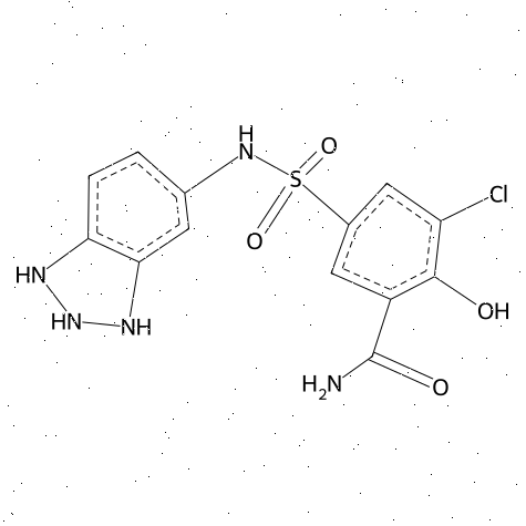 NC(=O)c1cc(S(=O)(=O)Nc2ccc3c(c2)NNN3)cc(Cl)c1O